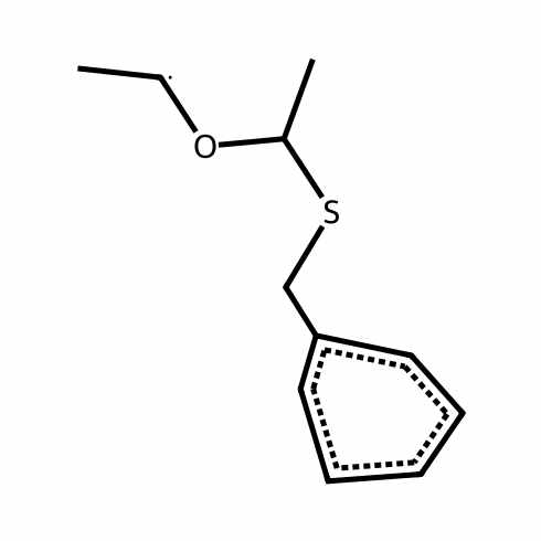 C[CH]OC(C)SCc1ccccc1